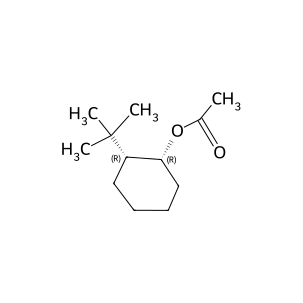 CC(=O)O[C@@H]1CCCC[C@@H]1C(C)(C)C